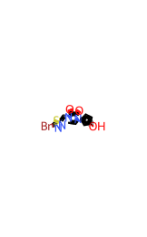 O=C1C(=O)N([C@H]2CC[C@@H](O)C2)CCN1Cc1nnc(Br)s1